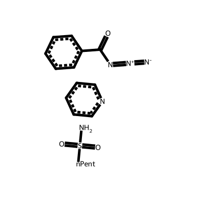 CCCCCS(N)(=O)=O.[N-]=[N+]=NC(=O)c1ccccc1.c1ccncc1